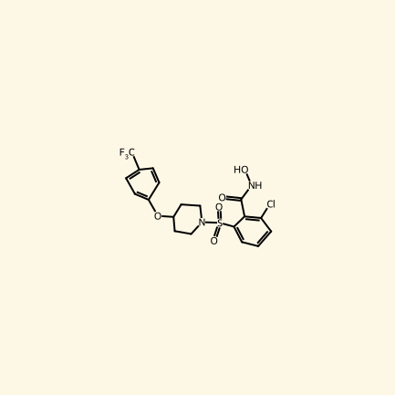 O=C(NO)c1c(Cl)cccc1S(=O)(=O)N1CCC(Oc2ccc(C(F)(F)F)cc2)CC1